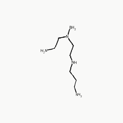 BN(CCN)CCNCCCN